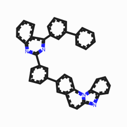 c1ccc(-c2cccc(-c3nc(-c4cccc(-c5ccc6c(ccc7nc8ccccc8n76)c5)c4)nc4ccccc34)c2)cc1